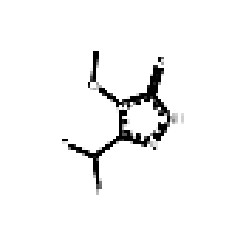 COn1c(C(F)F)n[nH]c1=S